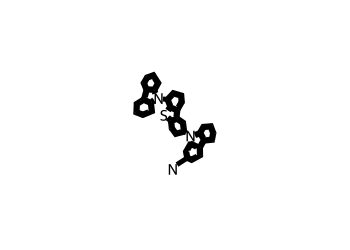 N#Cc1ccc2c3ccccc3n(-c3ccc4sc5c(-n6c7ccccc7c7ccccc76)cccc5c4c3)c2c1